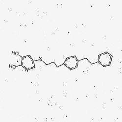 Oc1cc(SCCCc2ccc(CCc3ccccc3)cc2)cnc1O